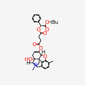 Cc1ccc2c3c1O[C@H]1C(OC(=O)CCC(=O)O[C@H](C(=O)OC(C)(C)C)c4ccccc4)=CC[C@@]4(O)[C@@H](C2)N(C)CC[C@]314